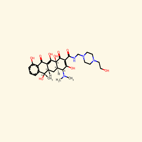 CN(C)[C@@H]1C(O)=C(C(=O)NCN2CCN(CCO)CC2)C(=O)[C@@]2(O)C(O)=C3C(=O)c4c(O)cccc4[C@@](C)(O)[C@H]3C[C@H]12